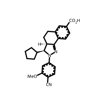 COc1cc(N2N=C3c4ccc(C(=O)O)cc4CC[C@@H]3[C@@H]2C2CCCC2)ccc1C#N